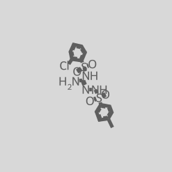 Cc1ccc(S(=O)(=O)NN=C(N)NS(=O)(=O)c2ccccc2Cl)cc1